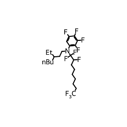 CCCCC(CC)CCN(c1cc(F)c(F)c(F)c1F)C(F)(F)C(F)CCCCCCC(F)(F)F